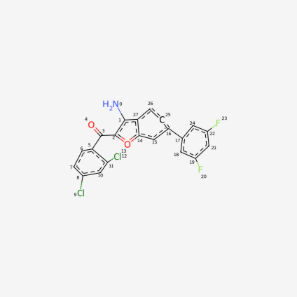 Nc1c(C(=O)c2ccc(Cl)cc2Cl)oc2cc(-c3cc(F)cc(F)c3)ccc12